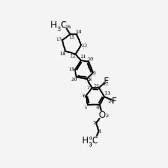 CCCOc1ccc(-c2ccc(C3CCC(C)CC3)cc2)c(F)c1F